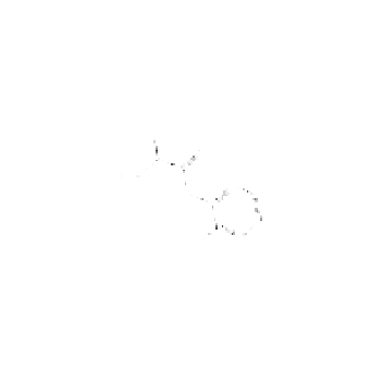 CC(N)C(=O)Oc1ccccc1F